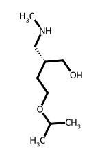 CNC[C@H](CO)CCOC(C)C